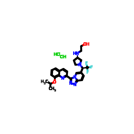 CC(C)Oc1cccc2ccc(-c3nnc4ccc([C@@H](N5CC[C@H](NCCO)C5)C(F)(F)F)cn34)nc12.Cl.Cl